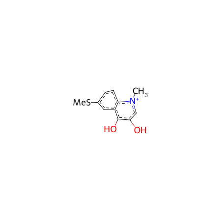 CSc1ccc2c(c1)c(O)c(O)c[n+]2C